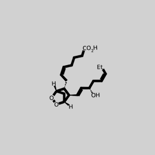 CC/C=C\C[C@H](O)/C=C/[C@@H]1[C@@H](C/C=C\CCCC(=O)O)[C@@H]2C[C@H]1OO2